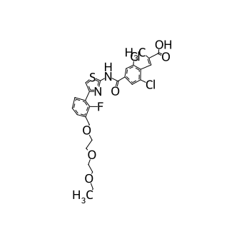 CCOCCOCCOCc1cccc(-c2csc(NC(=O)c3cc(Cl)c(C=C(C)C(=O)O)c(Cl)c3)n2)c1F